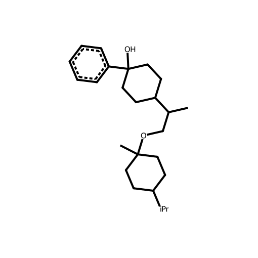 CC(C)C1CCC(C)(OCC(C)C2CCC(O)(c3ccccc3)CC2)CC1